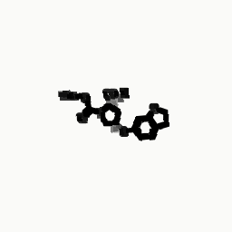 CC(C)(C)OC(=O)N1C[C@@H](Oc2ccc3c(c2)OCC3)C[C@H]1C(=O)O